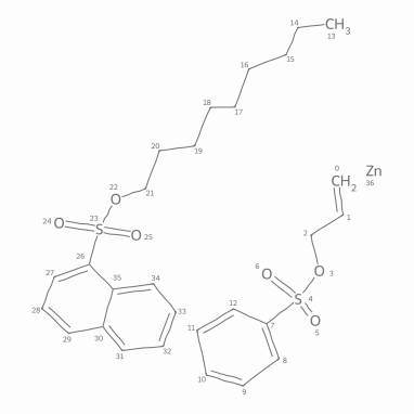 C=CCOS(=O)(=O)c1ccccc1.CCCCCCCCCOS(=O)(=O)c1cccc2ccccc12.[Zn]